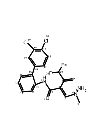 C=C(/C(=C\N(C)N)C(=O)Nc1ccccc1-c1ccc(Cl)c(Cl)c1)C(F)F